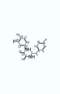 C=C(NCCc1ccc(C)cc1)C(=C)Nc1ccc(C)c(F)c1